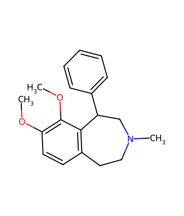 COc1ccc2c(c1OC)C(c1ccccc1)CN(C)CC2